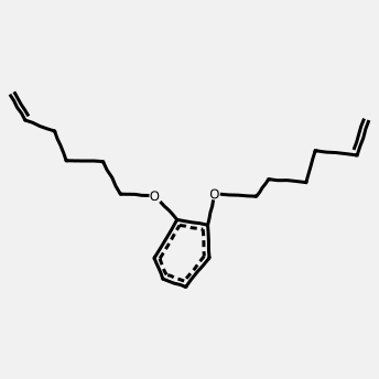 C=CCCCCOc1ccccc1OCCCCC=C